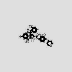 COc1cc(OC2CCOCC2)ccc1NC(=O)[C@@H]1N[C@@H](CC(C)(C)C)[C@@]2(C(=O)Nc3cc(I)ccc32)[C@H]1c1cccc(Cl)c1F